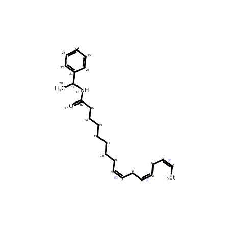 CC/C=C\C/C=C\C/C=C\CCCCCCCC(=O)NC(C)c1ccccc1